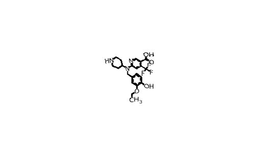 CCOc1cc(CN(c2cc(C(F)(F)F)c(C(=O)O)cn2)C2CCNCC2)ccc1O